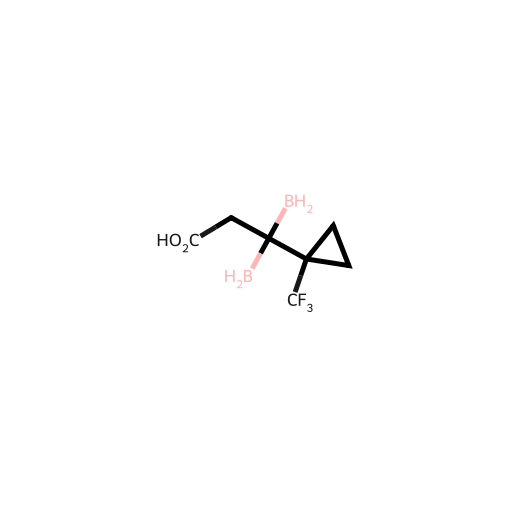 BC(B)(CC(=O)O)C1(C(F)(F)F)CC1